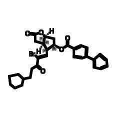 O=C1C[C@@H]2[C@H](C=C(Br)C(=O)CCC3CCCCC3)[C@H](OC(=O)c3ccc(-c4ccccc4)cc3)C[C@@H]2O1